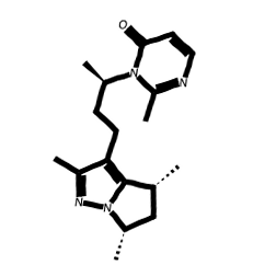 Cc1nn2c(c1CC[C@@H](C)n1c(C)nccc1=O)[C@H](C)C[C@@H]2C